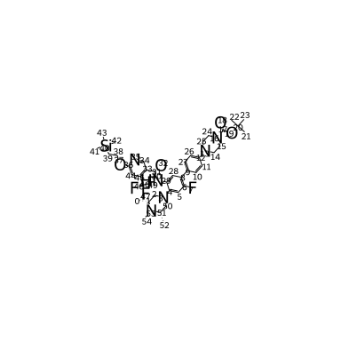 C[C@@H]1CN(c2cc(F)c(-c3ccc(N4CCN(C(=O)OC(C)(C)C)CC4)cc3)cc2NC(=O)c2cnc(OCC[Si](C)(C)C)cc2C(F)(F)F)C[C@H](C)N1C